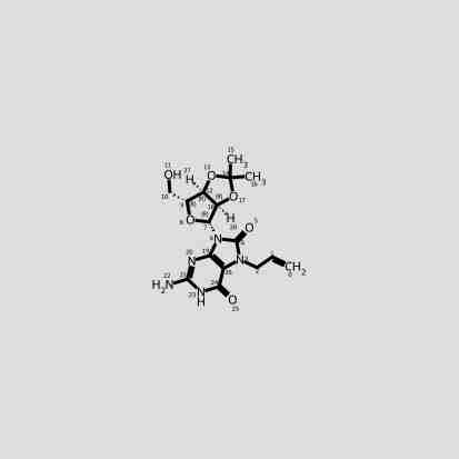 C=CCn1c(=O)n([C@@H]2O[C@H](CO)[C@H]3OC(C)(C)O[C@H]32)c2nc(N)[nH]c(=O)c21